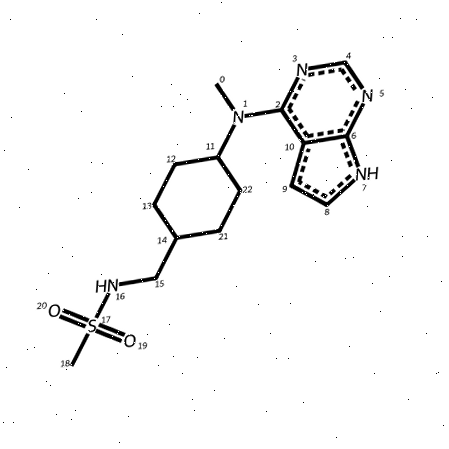 CN(c1ncnc2[nH]ccc12)C1CCC(CNS(C)(=O)=O)CC1